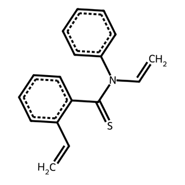 C=Cc1ccccc1C(=S)N(C=C)c1ccccc1